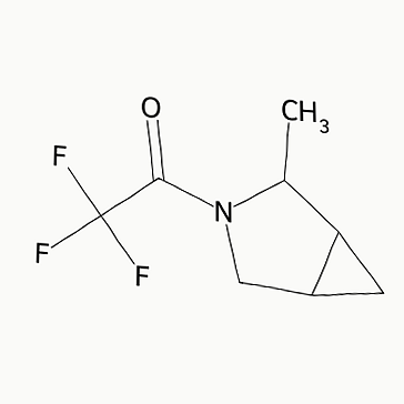 CC1C2CC2CN1C(=O)C(F)(F)F